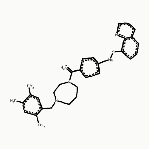 C=C(c1ccc(NSc2cccc3cccnc23)cc1)N1CCCN(Cc2cc(C)c(C)cc2C)CC1